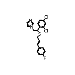 Fc1ccc(C=CCSC(Cn2ccnc2)c2ccc(Cl)cc2Cl)cc1